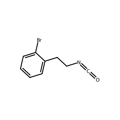 O=C=NCCc1ccccc1Br